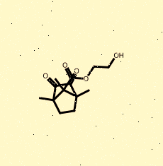 CC12CCC(C)(C(=O)C1=O)C2(C)C(=O)OCCO